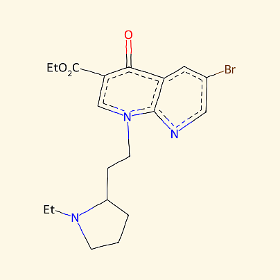 CCOC(=O)c1cn(CCC2CCCN2CC)c2ncc(Br)cc2c1=O